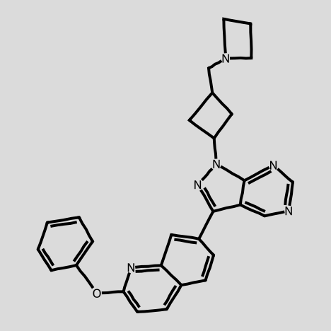 c1ccc(Oc2ccc3ccc(-c4nn(C5CC(CN6CCC6)C5)c5ncncc45)cc3n2)cc1